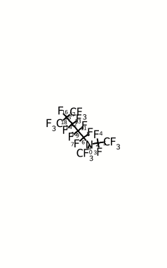 FC(F)(F)N(C(F)(F)C(F)(F)F)C(F)(F)C(F)(F)C(F)(F)C(F)(C(F)(F)F)C(F)(F)F